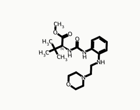 COC(=O)[C@@H](NC(=O)Nc1ccccc1NCCN1CCOCC1)C(C)(C)C